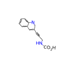 O=C(O)NCC#Cc1cnc2ccccc2c1